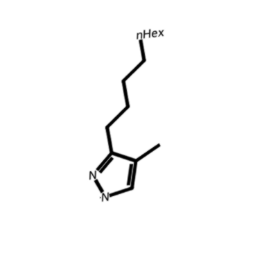 CCCCCCCCCCC1=N[N]C=C1C